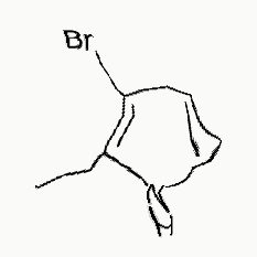 Cc1[nH]ccc1Br